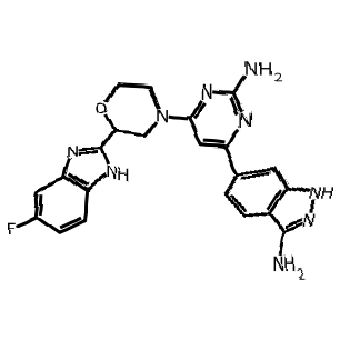 Nc1nc(-c2ccc3c(N)n[nH]c3c2)cc(N2CCOC(c3nc4cc(F)ccc4[nH]3)C2)n1